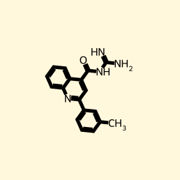 Cc1cccc(-c2cc(C(=O)NC(=N)N)c3ccccc3n2)c1